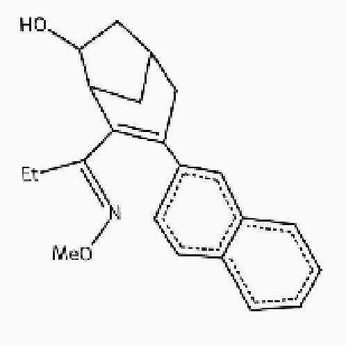 CCC(=NOC)C1=C(c2ccc3ccccc3c2)CC2CC(O)C1C2